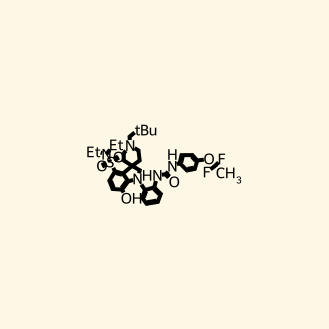 CCN(CC)S(=O)(=O)c1ccc(O)c2c1C1(CCN(CC(C)(C)C)CC1)CN2c1ccccc1NC(=O)Nc1ccc(OC(C)(F)F)cc1